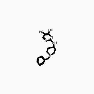 Oc1nc(NC2CCN(Cc3ccccc3)CC2)ncc1Br